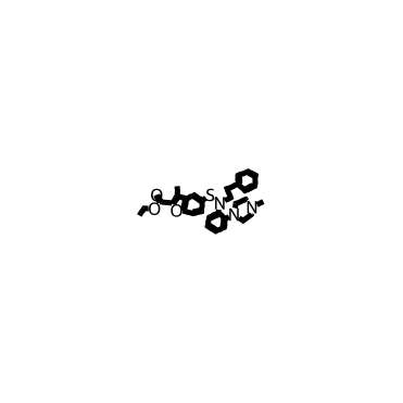 CCOC(=O)c1oc2ccc(SN(CCc3ccccc3)c3ccccc3N3CCN(C)CC3)cc2c1C